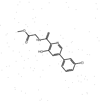 C=C(NCC(=O)OC)c1ncc(-c2cccc(Cl)c2)cc1O